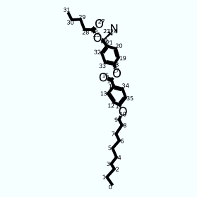 CCCCCCCCCCOc1ccc(C(=O)Oc2ccc([C@H](C#N)OC(=O)CCCC)cc2)cc1